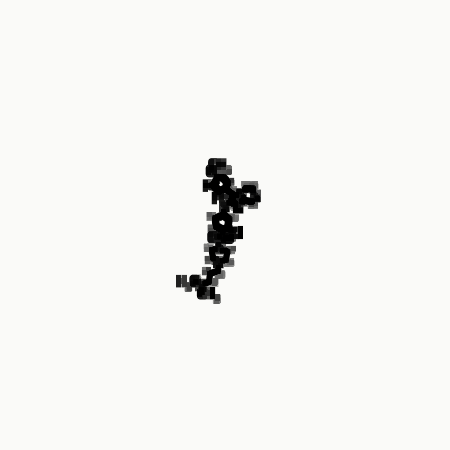 COc1ccc(-c2c(Nc3ccc(S(=O)(=O)N4CCN(CCCN(C)C)CC4)c(Cl)c3)nc3cnccn23)c(F)c1F